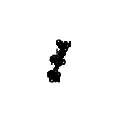 COC(=O)c1c(O)cccc1OCCCCNC(=O)[C@H](Cc1ccc(C2CC(=O)NS2(=O)=O)cc1)NC(=O)OC(C)(C)C